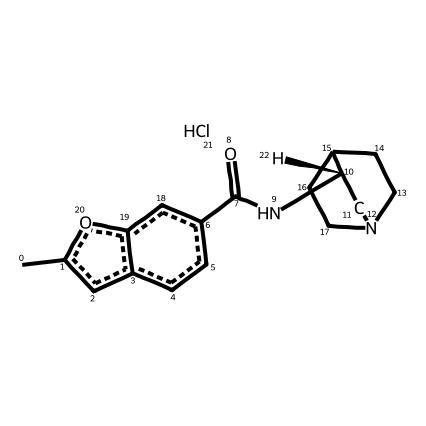 Cc1cc2ccc(C(=O)N[C@H]3CN4CCC3CC4)cc2o1.Cl